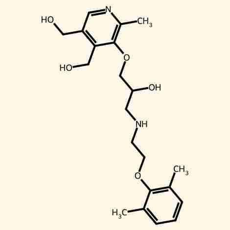 Cc1cccc(C)c1OCCNCC(O)COc1c(C)ncc(CO)c1CO